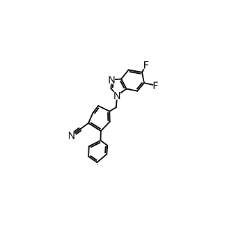 N#Cc1ccc(Cn2cnc3cc(F)c(F)cc32)cc1-c1cc[c]cc1